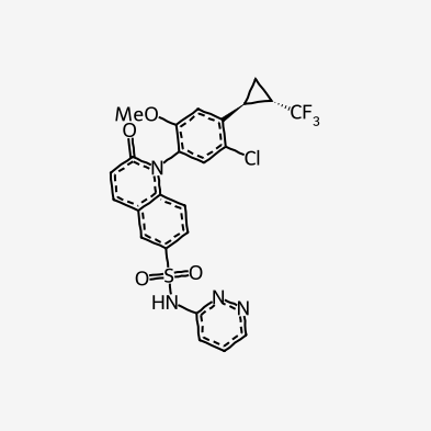 COc1cc([C@H]2C[C@@H]2C(F)(F)F)c(Cl)cc1-n1c(=O)ccc2cc(S(=O)(=O)Nc3cccnn3)ccc21